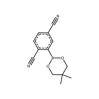 CC1(C)COB(c2cc(C#N)ccc2C#N)OC1